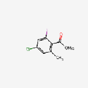 COC(=O)c1c(C)cc(Cl)cc1I